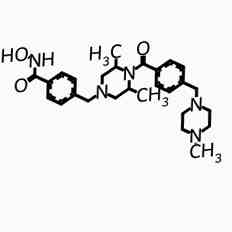 CC1CN(Cc2ccc(C(=O)NO)cc2)CC(C)N1C(=O)c1ccc(CN2CCN(C)CC2)cc1